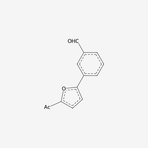 CC(=O)c1ccc(-c2cccc(C=O)c2)o1